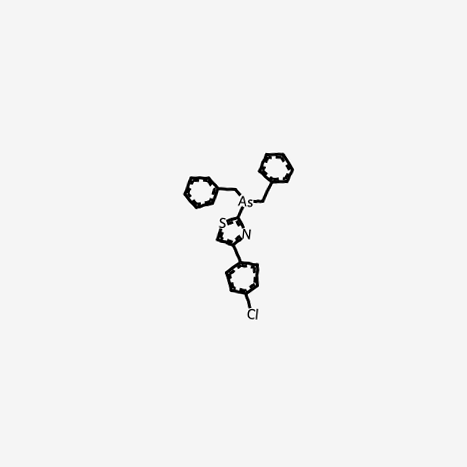 Clc1ccc(-c2csc([As](Cc3ccccc3)Cc3ccccc3)n2)cc1